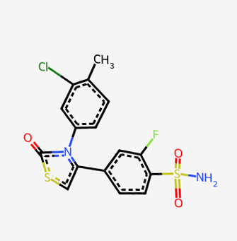 Cc1ccc(-n2c(-c3ccc(S(N)(=O)=O)c(F)c3)csc2=O)cc1Cl